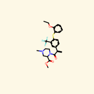 C=C(C(=O)N1CCN(C)CC1C(=O)OC)c1ccc(Sc2ccccc2OCC)c(C(F)(F)F)c1